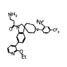 CCOc1ncccc1-c1ccc2c(c1)N(C(=O)CCN)CC21CCN(c2ccc(C(F)(F)F)cc2C#N)CC1